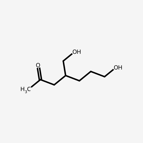 CC(=O)CC(CO)CCCO